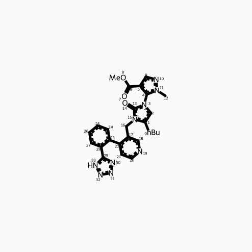 CCCCc1cn(-c2c(C(=O)OC)cnn2C)c(=O)n1Cc1cnccc1-c1ccccc1-c1nnn[nH]1